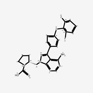 Nc1ncnc2c1c(-c1ccc(Oc3c(F)cccc3F)cc1)nn2C[C@H]1CCCN1C(=O)O